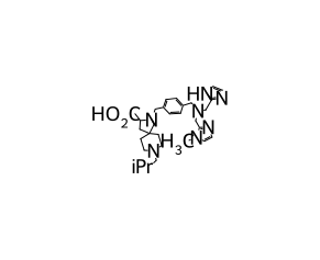 CC(C)CN1CCC2(CC1)CC(C(=O)O)N(Cc1ccc(CN(Cc3ncc[nH]3)Cc3nccn3C)cc1)C2